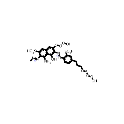 C/N=N/c1c(S(=O)(=O)O)cc2cc(SOOO)c(/N=N/c3ccc(CCCOSOOO)cc3S(=O)(=O)O)c(O)c2c1N